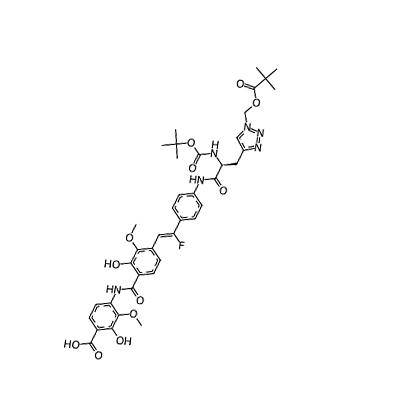 COc1c(/C=C(\F)c2ccc(NC(=O)[C@H](Cc3cn(COC(=O)C(C)(C)C)nn3)NC(=O)OC(C)(C)C)cc2)ccc(C(=O)Nc2ccc(C(=O)O)c(O)c2OC)c1O